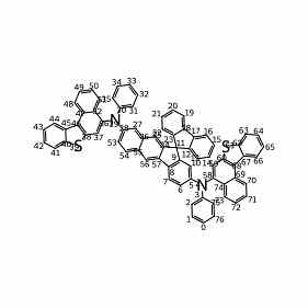 c1ccc(N(c2ccc3c(c2)C2(c4ccccc4-c4ccccc42)c2cc4cc(N(c5ccccc5)c5cc6sc7ccccc7c6c6ccccc56)ccc4cc2-3)c2cc3sc4ccccc4c3c3ccccc23)cc1